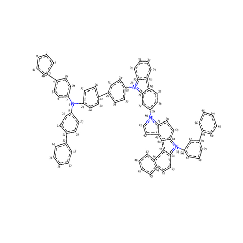 c1ccc(-c2ccc(N(c3ccc(-c4ccccc4)cc3)c3ccc(-c4ccc(-n5c6ccccc6c6ccc(-n7ccc8c9c%10c%11ccccc%11ccc%10n(-c%10cccc(-c%11ccccc%11)c%10)c9ccc87)cc65)cc4)cc3)cc2)cc1